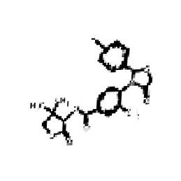 Cc1cc(C(=O)OC2C(=O)OCC2(C)C)ccc1N1C(=O)CSC1c1ccc(F)cc1